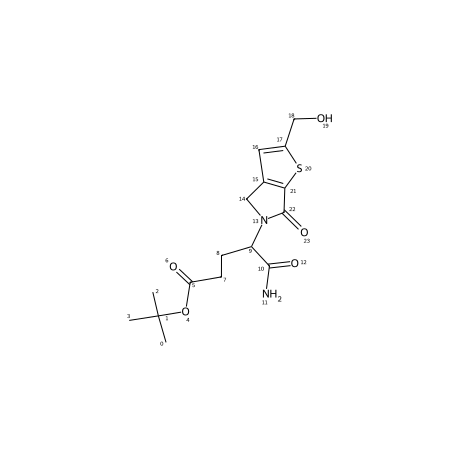 CC(C)(C)OC(=O)CCC(C(N)=O)N1Cc2cc(CO)sc2C1=O